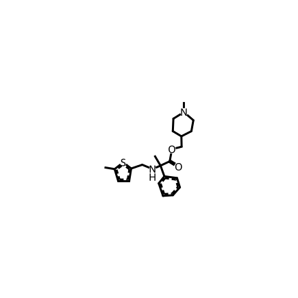 Cc1ccc(CNC(C)(C(=O)OCC2CCN(C)CC2)c2ccccc2)s1